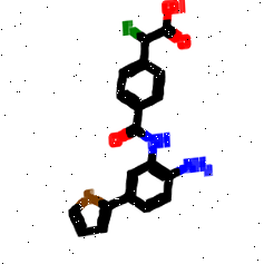 Nc1ccc(-c2cccs2)cc1NC(=O)c1ccc(C(F)C(=O)O)cc1